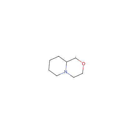 [CH]1OCCN2CCCCC12